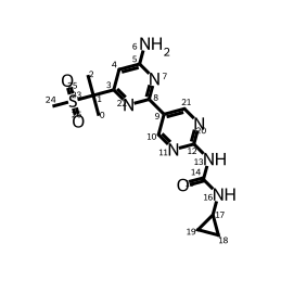 CC(C)(c1cc(N)nc(-c2cnc(NC(=O)NC3CC3)nc2)n1)S(C)(=O)=O